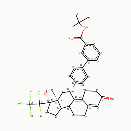 CC(C)(C)OC(=O)c1cccc(-c2ccc([C@H]3C[C@@]4(C)C(CC[C@@]4(O)C(F)(F)C(F)(F)F)C4CCC5=CC(=O)CCC5=C43)cc2)c1